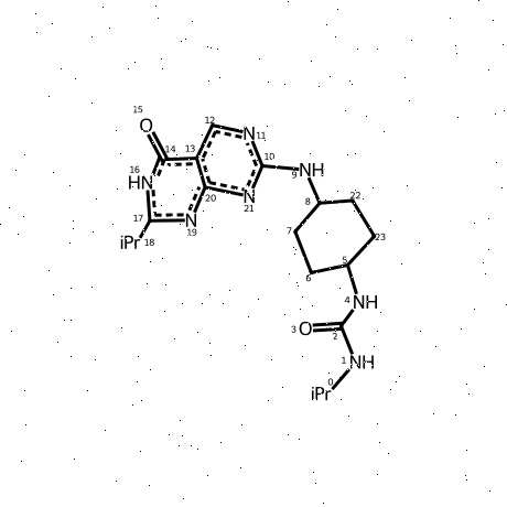 CC(C)NC(=O)NC1CCC(Nc2ncc3c(=O)[nH]c(C(C)C)nc3n2)CC1